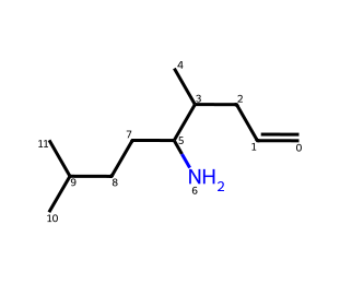 C=CCC(C)C(N)CCC(C)C